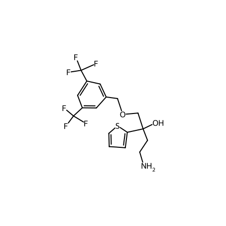 NCCC(O)(COCc1cc(C(F)(F)F)cc(C(F)(F)F)c1)c1cccs1